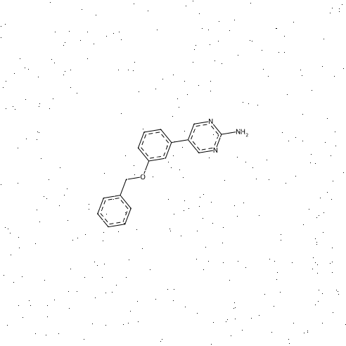 Nc1ncc(-c2cccc(OCc3ccccc3)c2)cn1